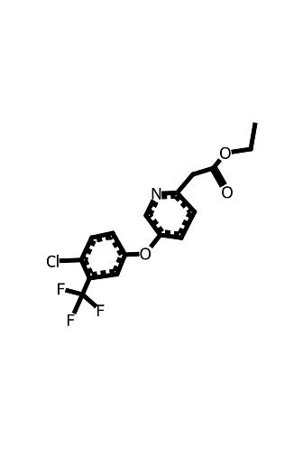 CCOC(=O)Cc1ccc(Oc2ccc(Cl)c(C(F)(F)F)c2)cn1